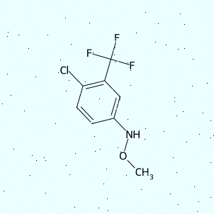 CONc1ccc(Cl)c(C(F)(F)F)c1